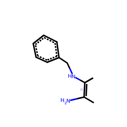 C/C(N)=C(\C)NCc1ccccc1